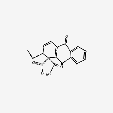 CCC1C=CC2=C(C(=O)c3ccccc3C2=O)C1(C(=O)O)[N+](=O)[O-]